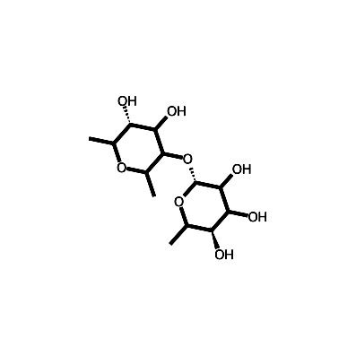 CC1OC(C)[C@H](O)C(O)C1O[C@H]1OC(C)[C@H](O)C(O)C1O